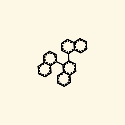 c1ccc2c(-c3ccc4ccccc4c3-c3cccc4ccccc34)cccc2c1